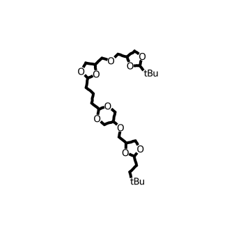 CC(C)(C)CCC1OCC(COC2COC(CCCC3OCC(COCC4COC(C(C)(C)C)O4)O3)OC2)O1